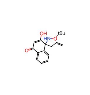 C=CCC1(NOC(C)(C)C)C(O)=CC(=O)c2ccccc21